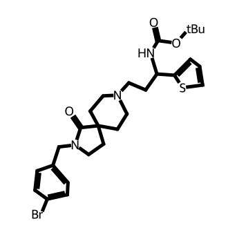 CC(C)(C)OC(=O)NC(CCN1CCC2(CC1)CCN(Cc1ccc(Br)cc1)C2=O)c1cccs1